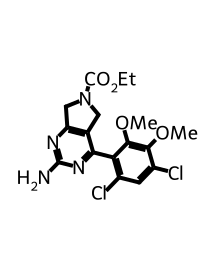 CCOC(=O)N1Cc2nc(N)nc(-c3c(Cl)cc(Cl)c(OC)c3OC)c2C1